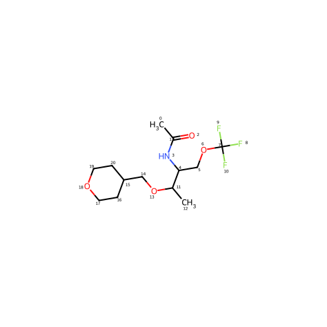 CC(=O)NC(COC(F)(F)F)C(C)OCC1CCOCC1